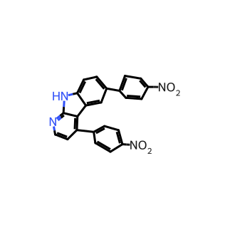 O=[N+]([O-])c1ccc(-c2ccc3[nH]c4nccc(-c5ccc([N+](=O)[O-])cc5)c4c3c2)cc1